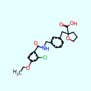 CCOc1ccc(C(=O)NCc2cccc(CC3(C(=O)O)CCCO3)c2)c(Cl)c1